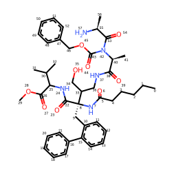 CCCCCC(=O)N[C@@](Cc1ccccc1-c1ccccc1)(C(=O)NC(C(=O)OC)C(C)C)C(CO)CNC(=O)[C@H](C)N(C(=O)OCc1ccccc1)C(=O)[C@H](C)N